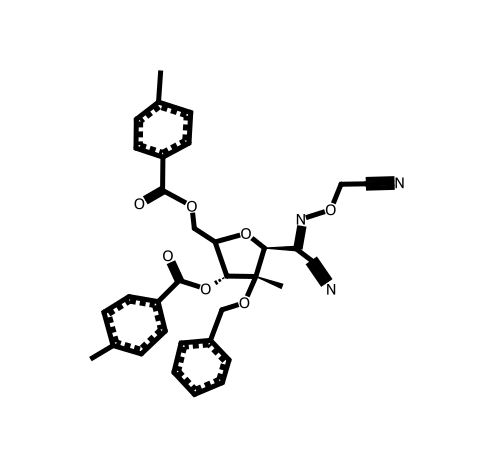 Cc1ccc(C(=O)OCC2O[C@@H](C(C#N)=NOCC#N)[C@](C)(OCc3ccccc3)[C@@H]2OC(=O)c2ccc(C)cc2)cc1